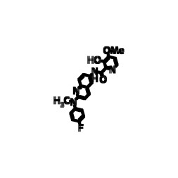 COc1ccnc(C(=O)Nc2ccc3nc(N(C)c4ccc(F)cc4)ccc3c2)c1O